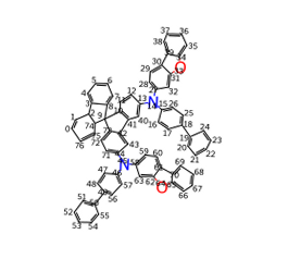 C1=CC2c3ccccc3C3(c4ccc(N(c5ccc(-c6ccccc6)cc5)c5ccc6c(c5)oc5ccccc56)cc4-c4cc(N(c5ccc(-c6ccccc6)cc5)c5ccc6c(c5)oc5ccccc56)ccc43)C2C=C1